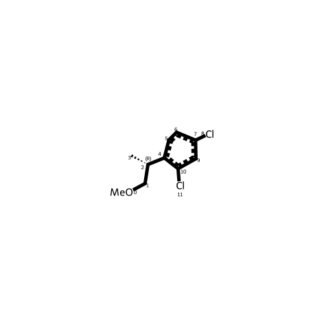 COC[C@H](C)c1ccc(Cl)cc1Cl